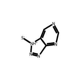 [S-][NH+]1N=Nc2ncncc21